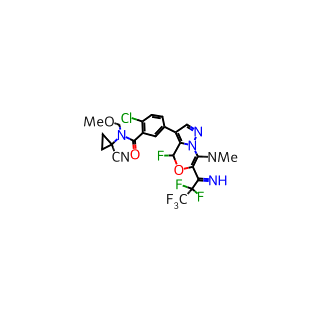 CNC1=C(C(=N)C(F)(F)C(F)(F)F)OC(F)c2c(-c3ccc(Cl)c(C(=O)N(COC)C4(C#N)CC4)c3)cnn21